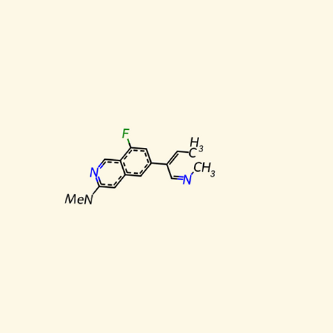 C/C=C(\C=N/C)c1cc(F)c2cnc(NC)cc2c1